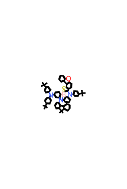 CC(C)(C)c1ccc(N(c2ccc(C(C)(C)C)cc2)c2ccc3c(c2)N(c2cccc4c2-c2ccccc2C4(C)C)c2cccc4c2B3c2sc3c(ccc5oc6ccccc6c53)c2N4c2ccc(C(C)(C)C)cc2)cc1